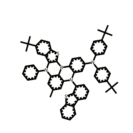 Cc1cc2c3c(c1)N(c1cccc4c1sc1ccccc14)c1cc(N(c4ccc(C(C)(C)C)cc4)c4ccc(C(C)(C)C)cc4)ccc1B3c1sc3ccc(C(C)(C)C)cc3c1N2c1ccccc1